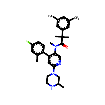 Cc1cc(F)ccc1-c1cc(N2CCNC(C)C2)ncc1N(C)C(=O)C(C)(C)c1cc(C(F)(F)F)cc(C(F)(F)F)c1